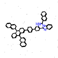 C1=CCC2CC(C3=C4C=C(C5=CC=C(C6=CC7=C(CC6)C6=NC8C=CC=CC8N6C(c6ccc8c(c6)=CCCC=8)N7)CC5)CCC4C(C4C=c5ccccc5=CC4)C4CC=CC=C34)C=CC2=C1